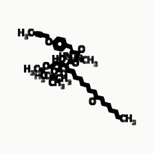 CC#CCOc1ccc(C[C@H](NC(=O)[C@@H](/C=C/CCCCCCC(=O)CCCCCCC)[C@@](O)(CCOC(C)=O)C(=O)OC(C)(C)C)C(=O)NC)cc1